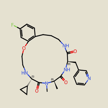 C[C@@H]1C(=O)N[C@H](Cc2cccnc2)C(=O)NCCCc2ccc(F)cc2OCCN[C@@H](C2CC2)C(=O)N1C